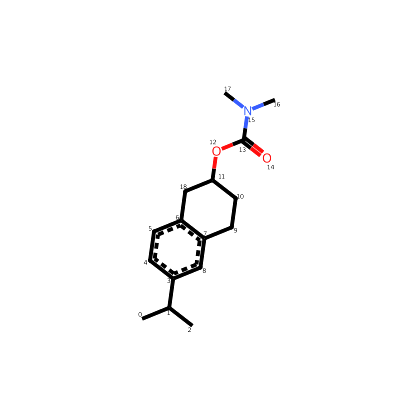 CC(C)c1ccc2c(c1)CCC(OC(=O)N(C)C)C2